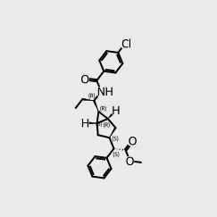 CC[C@@H](NC(=O)c1ccc(Cl)cc1)[C@H]1[C@@H]2C[C@@H]([C@H](C(=O)OC)c3ccccc3)C[C@@H]21